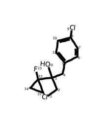 OC(CCl)(Cc1ccc(Cl)cc1)C1(F)CC1